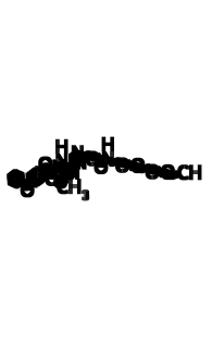 C#CCOCCOCCOCCOCCNC(=O)COCc1ncn(-c2ncc(OC)c3c(C(=O)C(=O)N4CCN(C(=O)c5ccccc5)CC4)c[nH]c23)n1